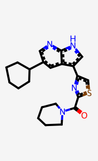 O=C(c1nc(-c2c[nH]c3ncc(C4CCCCC4)cc23)cs1)N1CCCCC1